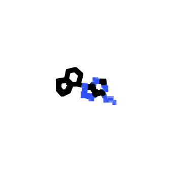 Nc1ncnc2c1nnn2C1CCCc2ccccc21